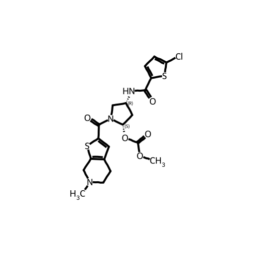 COC(=O)O[C@H]1C[C@@H](NC(=O)c2ccc(Cl)s2)CN1C(=O)c1cc2c(s1)CN(C)CC2